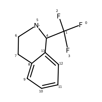 FC(F)(F)C1[N]CCc2ccccc21